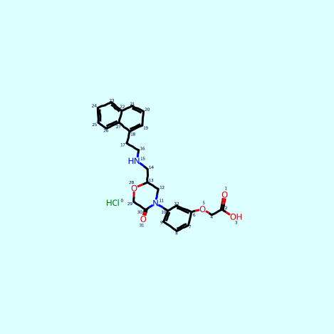 Cl.O=C(O)COc1cccc(N2CC(CNCCc3cccc4ccccc34)OCC2=O)c1